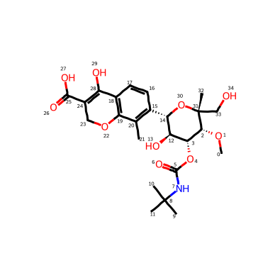 CO[C@@H]1[C@H](OC(=O)NC(C)(C)C)[C@@H](O)[C@H](c2ccc3c(c2C)OCC(C(=O)O)=C3O)O[C@]1(C)CO